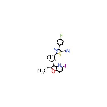 CCc1oc2ccc(I)nc2c1C(CC)CCc1nc(-c2ccc(F)cc2)c(C#N)s1